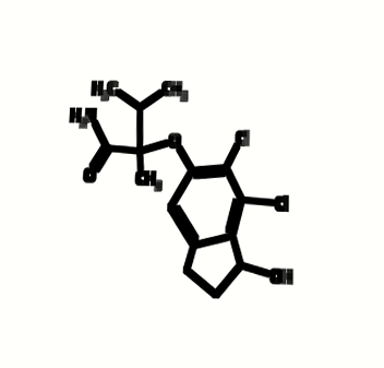 CC(C)C(C)(Oc1cc2c(c(Cl)c1Cl)C(O)CC2)C(N)=O